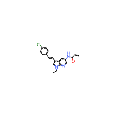 C=CC(=O)Nc1cnc2c(c1)c(C=Cc1ccc(Cl)cc1)cn2CC